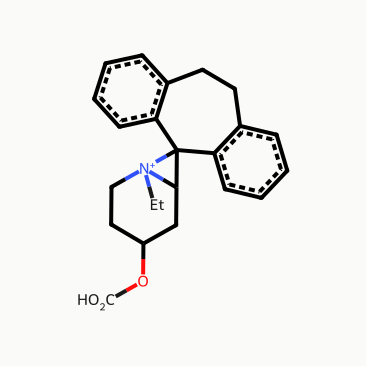 CC[N+]12CCC(OC(=O)O)CC1C21c2ccccc2CCc2ccccc21